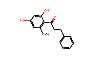 COc1cc(O)cc(O)c1C(=O)CCc1ccccc1